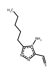 CCCCCc1nnc(C=S)n1N